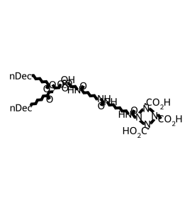 CCCCCCCCCCCCCCCC(=O)CC[C@@H](COP(=O)(O)OCCNC(=O)CCCCCNC(=O)NCCCCCCNC(=O)CN1CCN(CC(=O)O)CCN(CC(=O)O)CCN(CC(=O)O)CC1)OC(=O)CCCCCCCCCCCCCCC